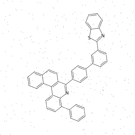 c1ccc(-c2cccc3c2nc(-c2ccc(-c4cccc(-c5nc6ccccc6s5)c4)cc2)c2ccc4ccccc4c23)cc1